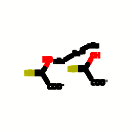 CCC[CH2][Sn+2][CH2]CCC.O=C([O-])C(O)=S.O=C([O-])C(O)=S